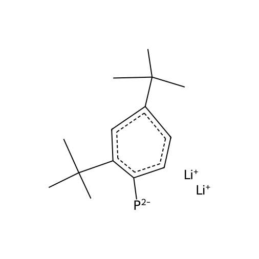 CC(C)(C)c1ccc([P-2])c(C(C)(C)C)c1.[Li+].[Li+]